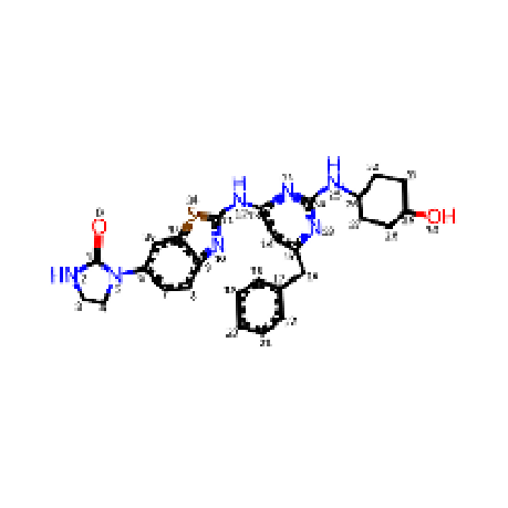 O=C1NCCN1c1ccc2nc(Nc3cc(Cc4ccccc4)nc(NC4CCC(O)CC4)n3)sc2c1